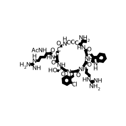 C=C(N)C1CCCNC(=O)CC[C@H](NC(=O)[C@H](CCCNC(=N)N)NC(C)=O)C(=O)N[C@@H](CO)C(=O)N[C@H](Cc2ccccc2Cl)C(=O)N[C@@H](CCCNC(=N)N)C(=O)N[C@@H](Cc2c[nH]c3ccccc23)C(=O)N1